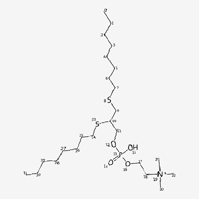 CCCCCCCCSCC(COP(=O)(O)OCC[N+](C)(C)C)SCCCCCCCC